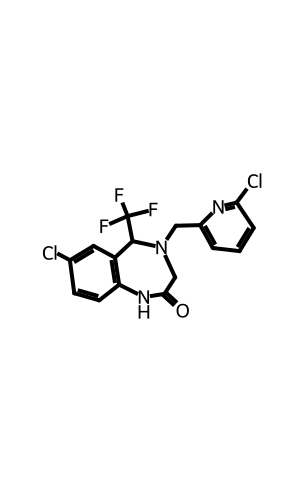 O=C1CN(Cc2cccc(Cl)n2)C(C(F)(F)F)c2cc(Cl)ccc2N1